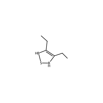 CCC1=C(CC)BSB1